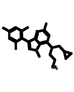 Cc1cc(C)c(-c2cn(C)c3c(C(CCN)CC4CC4)cc(C)nc23)c(C)c1